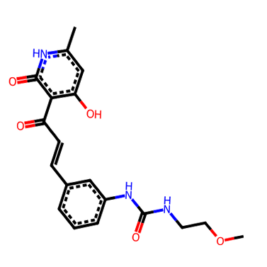 COCCNC(=O)Nc1cccc(C=CC(=O)c2c(O)cc(C)[nH]c2=O)c1